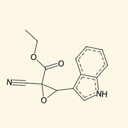 CCOC(=O)C1(C#N)OC1c1c[nH]c2ccccc12